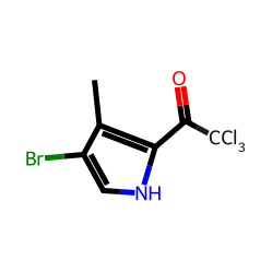 Cc1c(Br)c[nH]c1C(=O)C(Cl)(Cl)Cl